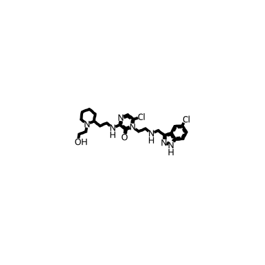 O=c1c(NCCC2CCCCN2CCO)ncc(Cl)n1CCNCc1n[nH]c2ccc(Cl)cc12